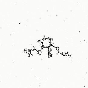 CCOc1ncnc(OCC)c1Br